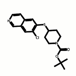 CC(C)(C)OC(=O)N1CCC(Sc2cc3ccncc3cc2Cl)CC1